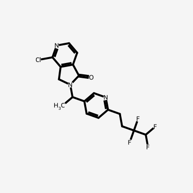 CC(c1ccc(CCC(F)(F)C(F)F)nc1)N1Cc2c(ccnc2Cl)C1=O